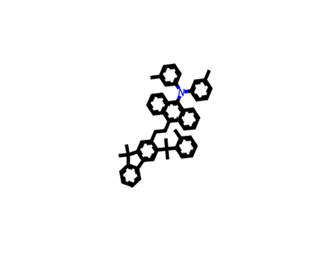 Cc1cccc(N(c2cccc(C)c2)c2c3ccccc3c(CCc3cc4c(cc3C(C)(C)c3ccccc3C)-c3ccccc3C4(C)C)c3ccccc23)c1